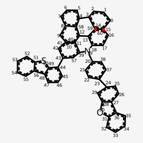 c1ccc(-c2cccc3cccc(-c4ccccc4N(c4ccc(-c5ccc6c(c5)oc5ccccc56)cc4)c4cccc(-c5cccc6c5sc5ccccc56)c4)c23)cc1